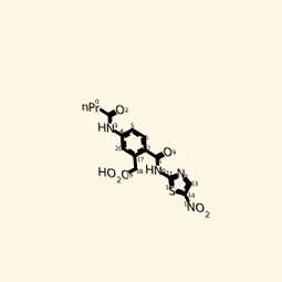 CCCC(=O)Nc1ccc(C(=O)Nc2ncc([N+](=O)[O-])s2)c(CC(=O)O)c1